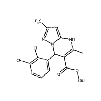 CC1=C(C(=O)OC(C)(C)C)C(c2cccc(Cl)c2Cl)n2nc(C(F)(F)F)cc2N1